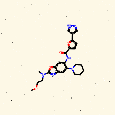 COCCN(C)c1nc2cc(N3CCCCC3)c(NC(=O)c3ccc(-c4cn[nH]c4)o3)cc2o1